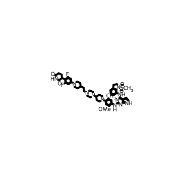 COc1cc(N2CCC(N3CCN(CCC4CCN(c5cc(F)c(C6CCC(=O)NC6=O)c(F)c5)CC4)CC3)CC2)c(C)cc1Nc1nc(Nc2cccc3c2N(S(C)(=O)=O)CC3)c2cc[nH]c2n1